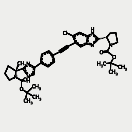 CC(C)(C)OC(=O)N1CCC[C@H]1c1nc2cc(C#Cc3ccc(-c4c[nH]c([C@@]5(C)CCCN5C(=O)OC(C)(C)C)n4)cc3)c(Cl)cc2[nH]1